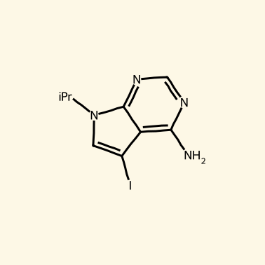 CC(C)n1cc(I)c2c(N)ncnc21